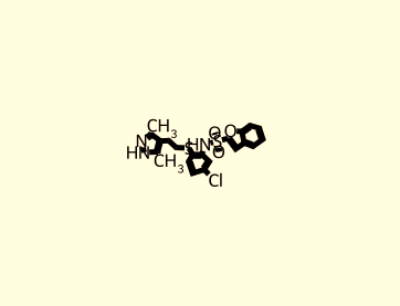 Cc1n[nH]c(C)c1CCSc1ccc(Cl)cc1NS(=O)(=O)c1cc2ccccc2o1